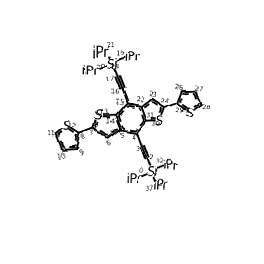 CC(C)[Si](C#Cc1c2cc(-c3cccs3)sc2c(C#C[Si](C(C)C)(C(C)C)C(C)C)c2cc(-c3cccs3)sc12)(C(C)C)C(C)C